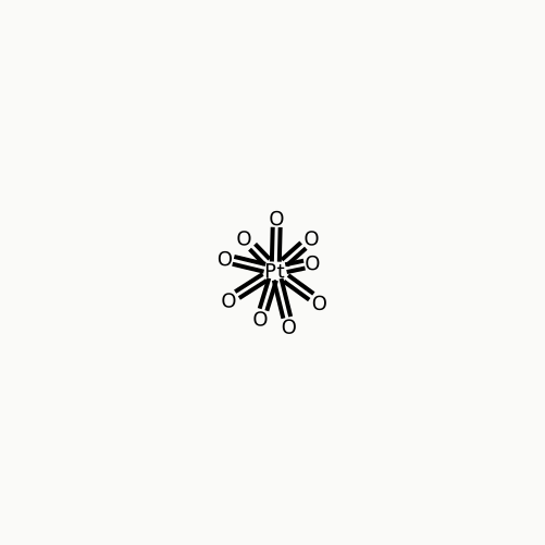 [O]=[Pt](=[O])(=[O])(=[O])(=[O])(=[O])(=[O])(=[O])=[O]